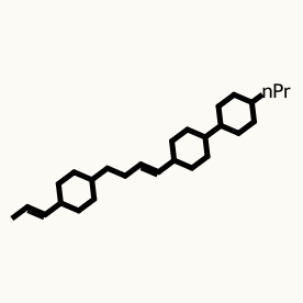 CC=CC1CCC(CCC=CC2CCC(C3CCC(CCC)CC3)CC2)CC1